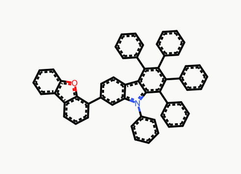 c1ccc(-c2c(-c3ccccc3)c(-c3ccccc3)c3c(c2-c2ccccc2)c2ccc(-c4cccc5c4oc4ccccc45)cc2n3-c2ccccc2)cc1